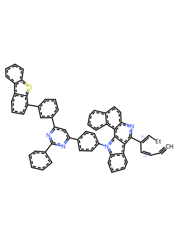 C#C/C=C\C(=C/CC)c1nc2ccc3ccccc3c2c2c1c1ccccc1n2-c1ccc(-c2cc(-c3cccc(-c4cccc5c4sc4ccccc45)c3)nc(-c3ccccc3)n2)cc1